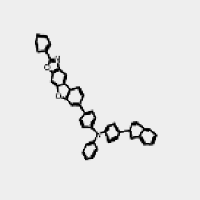 c1ccc(-c2nc3cc4c(cc3o2)oc2cc(-c3ccc(N(c5ccccc5)c5ccc(-c6ccc7ccccc7c6)cc5)cc3)ccc24)cc1